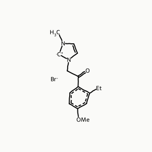 CCc1cc(OC)ccc1C(=O)CN1[C+]N(C)C=C1.[Br-]